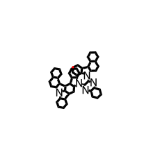 c1ccc2c(c1)ccc1c2c2ccccc2n1-c1nc2ccccc2nc1-n1c2ccccc2c2c3c4c5ccccc5ccc4n4c5ccccc5c(cc21)c34